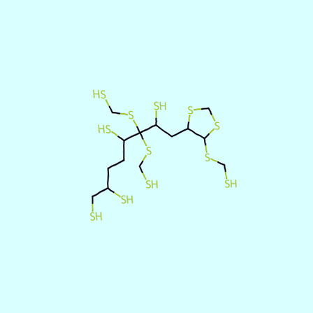 SCSC1SCSC1CC(S)C(SCS)(SCS)C(S)CCC(S)CS